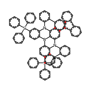 c1ccc(-c2ccccc2N2c3cc([Si](c4ccccc4)(c4ccccc4)c4ccccc4)ccc3B3c4ccc([Si](c5ccccc5)(c5ccccc5)c5ccccc5)cc4N(c4ccccc4-c4ccccc4)c4cc(-n5c6ccccc6c6ccccc65)cc2c43)cc1